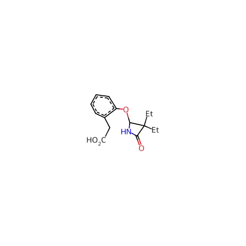 CCC1(CC)C(=O)NC1Oc1ccccc1CC(=O)O